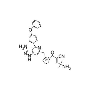 CC(C)(N)C=C(C#N)C(=O)N1CCC[C@@H]1Cc1cc2[nH]nc(N)c2c(-c2ccc(Oc3ccccc3)cc2)n1